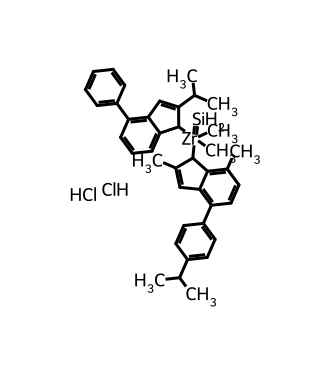 CC1=Cc2c(-c3ccc(C(C)C)cc3)ccc(C)c2[CH]1[Zr]([CH3])([CH3])(=[SiH2])[CH]1C(C(C)C)=Cc2c(-c3ccccc3)cccc21.Cl.Cl